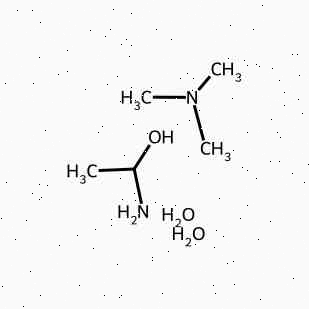 CC(N)O.CN(C)C.O.O